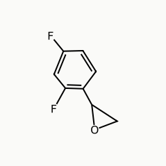 Fc1ccc(C2CO2)c(F)c1